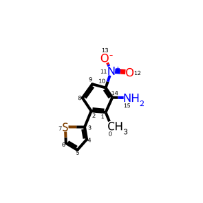 Cc1c(-c2cccs2)ccc([N+](=O)[O-])c1N